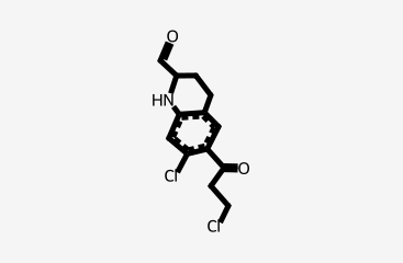 O=CC1CCc2cc(C(=O)CCCl)c(Cl)cc2N1